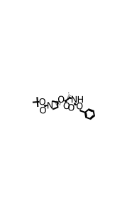 C[C@H](NC(=O)OCc1ccccc1)C(=O)O[C@@H]1CCN(C(=O)OC(C)(C)C)C1